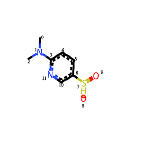 CN(C)c1ccc([SH](=O)=O)cn1